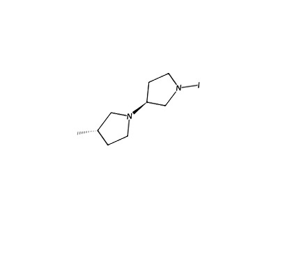 C[C@H]1CCN([C@H]2CCN(I)C2)C1